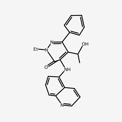 CCn1nc(-c2ccccc2)c(C(C)O)c(Nc2cccc3ncccc23)c1=O